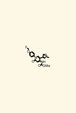 COC(=O)Nc1cc(=O)n(-c2ccc(OCF)cc2)cc1-c1cnn(C)c1